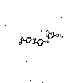 Cc1cc(Nc2ccc(C(=O)Nc3ccc([N+](=O)[O-])cc3)cc2)nc(N)n1